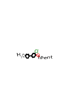 CCCCCOc1ccc(-c2ccc(C)cc2)cc1Cl